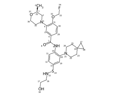 C[C@H]1CN(c2cc(C(=O)Nc3ccc(SNCCO)cc3N3CCC4(CC3)CC4)ccc2OCF)CCO1